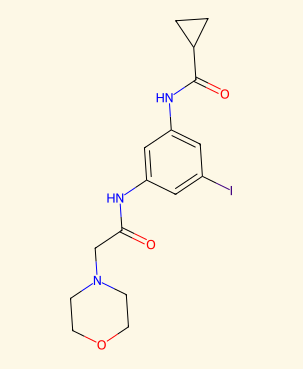 O=C(CN1CCOCC1)Nc1cc(I)cc(NC(=O)C2CC2)c1